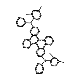 Cc1ccc(N(c2ccccc2)c2ccc3c(c2)c2ccccc2c2c4ccc(N(c5ccccc5)c5ccc(C)cc5C)cc4c4ccccc4c32)c(C)c1